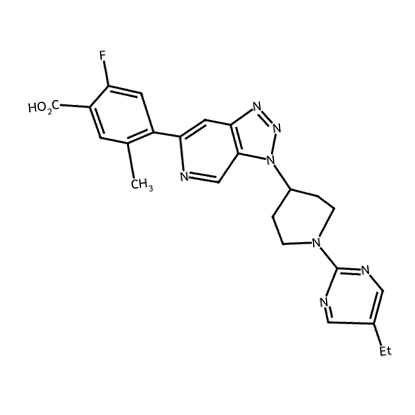 CCc1cnc(N2CCC(n3nnc4cc(-c5cc(F)c(C(=O)O)cc5C)ncc43)CC2)nc1